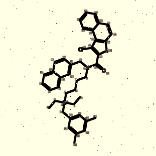 CC[N+](CC)(CCCCN(Cc1ccc2ccccc2c1)C(=O)c1sc2ccc3ccccc3c2c1Cl)Cc1cc(C)cc(C)c1